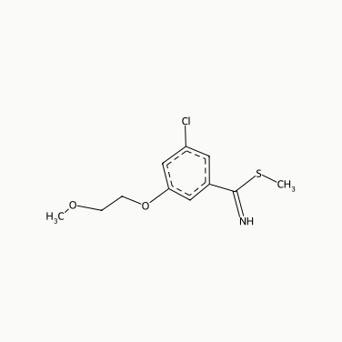 COCCOc1cc(Cl)cc(C(=N)SC)c1